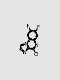 Fc1cc2nc(Cl)c3nccn3c2cc1F